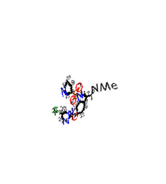 CNCc1cn(S(=O)(=O)c2cccnc2)c2cc(Oc3ncc(F)cn3)ccc12